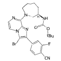 CC(C)(C)OC(=O)N[C@@H]1CCCCN(c2nccn3c(Br)c(-c4ccc(C#N)c(F)c4)nc23)C1